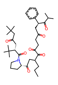 CCCC(CC(=O)[C@@H]1CCCN1C(=O)[C@@H](CC(=O)CC(C)(C)C)C(C)(C)C)C(=O)C(=O)CCC(=O)C[C@H](C(=O)C(C)C)c1ccccc1